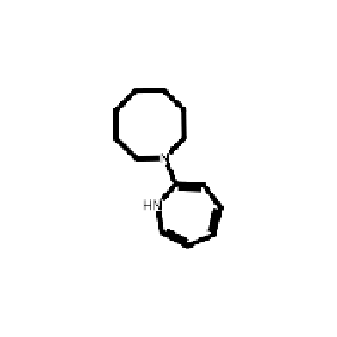 C1=CC=C(N2CCCCCCC2)NC=C1